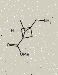 COC(=O)C12CC(CN)(C1)[C@@H]2C